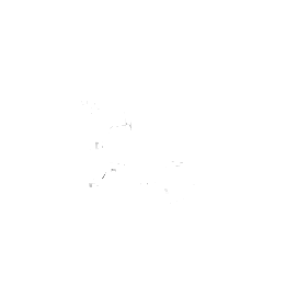 C=C1NC=C(Oc2ccccc2)[C@@H](C(C)CC)N1